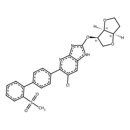 CS(=O)(=O)c1ccccc1-c1ccc(-c2nc3nc(O[C@@H]4CO[C@@H]5CCO[C@@H]54)[nH]c3cc2Cl)cc1